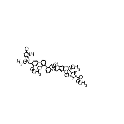 COC(=O)C1CCC(CN(C)Cc2cc(Cl)c(Cn3ncc4c(-c5cccc(-c6ccc(CN(C)C[C@@H]7CCC(=O)N7)c(OC)c6)c5Cl)cccc43)cc2OC)CC1